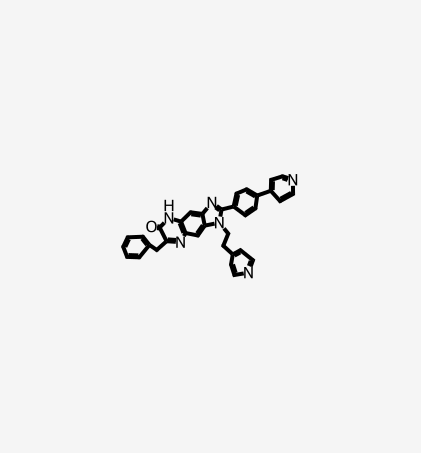 O=c1[nH]c2cc3nc(-c4ccc(-c5ccncc5)cc4)n(CCc4ccncc4)c3cc2nc1Cc1ccccc1